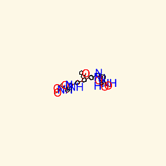 COC(=O)NC(C(=O)C1CCC[C@H]1c1ncc(-c2ccc(-c3ccc(-c4ccc(-c5cnc([C@@H]6CCCN6C(=O)[C@@H](NC(=O)OC)C(C)C)[nH]5)cc4)c4c3CC3(CCCC3)C4=O)cc2)[nH]1)C(C)C